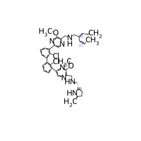 C=C/C=C(\C=C/C)CNCc1ncc(-c2cccc(-c3cccc(-c4cnc(CNC[C@@H]5CCC(=C)N5)c(OC)n4)c3Cl)c2Cl)nc1OC